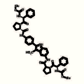 CC(C)(C)OC(=O)N[C@H](C(=O)N1CCCC1C(=O)Nc1ccc2[nH]c(-c3ccc(NC(=O)[C@@H]4CCCN4C(=O)[C@H](NC(=O)OC(C)(C)C)c4ccccc4)cc3)c(C(=O)O)c2c1)c1ccccc1